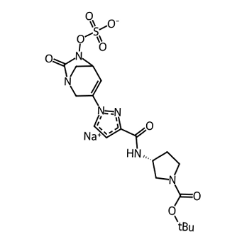 CC(C)(C)OC(=O)N1CC[C@@H](NC(=O)c2ccn(C3=CC4CN(C3)C(=O)N4OS(=O)(=O)[O-])n2)C1.[Na+]